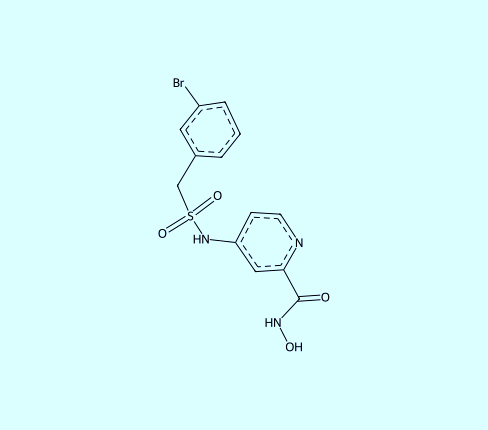 O=C(NO)c1cc(NS(=O)(=O)Cc2cccc(Br)c2)ccn1